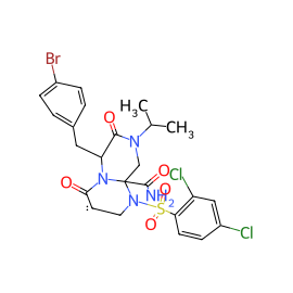 CC(C)N1CC2(C(N)=O)N(C(=O)[C]CN2S(=O)(=O)c2ccc(Cl)cc2Cl)C(Cc2ccc(Br)cc2)C1=O